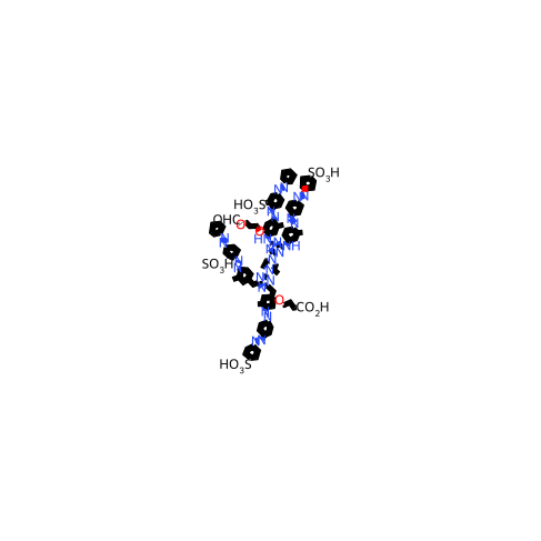 Cc1cc(Nc2nc(Nc3cc(C)c(N=Nc4ccc(N=Nc5ccccc5)cc4S(=O)(=O)O)cc3OCCCOC=O)nc(N3CCN(c4nc(Cc5ccc(N=Nc6ccc(N=Nc7ccccc7)cc6S(=O)(=O)O)c(C)c5)nc(Cc5cc(C)c(N=Nc6ccc(N=Nc7ccc(S(=O)(=O)O)cc7)cc6)cc5OCCCC(=O)O)n4)C(C)C3)n2)ccc1N=Nc1ccc(N=Nc2ccc(S(=O)(=O)O)cc2)cc1